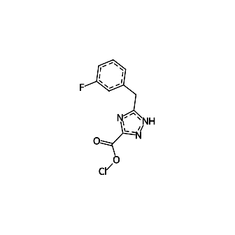 O=C(OCl)c1n[nH]c(Cc2cccc(F)c2)n1